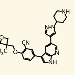 CC1(COc2ccc(-c3c[nH]c4ncc(-c5cnn(C6CCNCC6)c5)cc34)cc2C#N)COC1